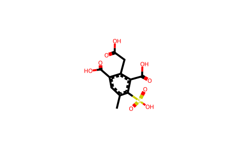 Cc1cc(C(=O)O)c(CC(=O)O)c(C(=O)O)c1S(=O)(=O)O